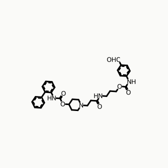 O=Cc1ccc(NC(=O)OCCCNC(=O)CCN2CCC(OC(=O)Nc3ccccc3-c3ccccc3)CC2)cc1